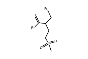 CC(C)CC(CCS(C)(=O)=O)C(=O)C(C)C